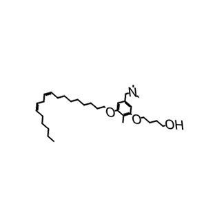 CCCCC/C=C\C/C=C\CCCCCCCCOc1cc(CN(C)C)cc(OCCCCO)c1C